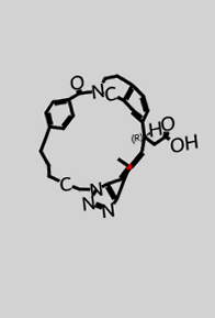 Cc1c2ccc3c1nnn3CCCCCc1ccc(cc1)C(=O)N1CCc3ccc(cc3C1)[C@H]2CC(=O)O